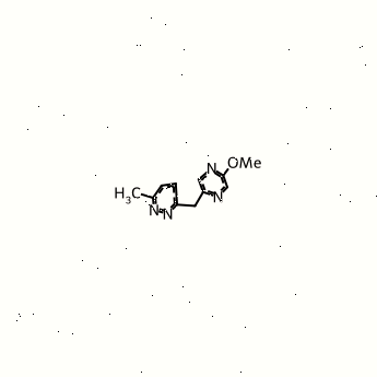 COc1cnc(Cc2ccc(C)nn2)cn1